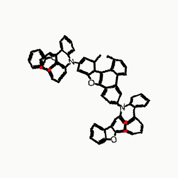 Cc1cccc2c1c1c(c3ccc(N(c4ccc5oc6ccccc6c5c4)c4ccccc4-c4ccccc4)cc32)OC2=CC(N(c3ccccc3-c3ccccc3)c3cccc4c3oc3ccccc34)=CC(C)C21